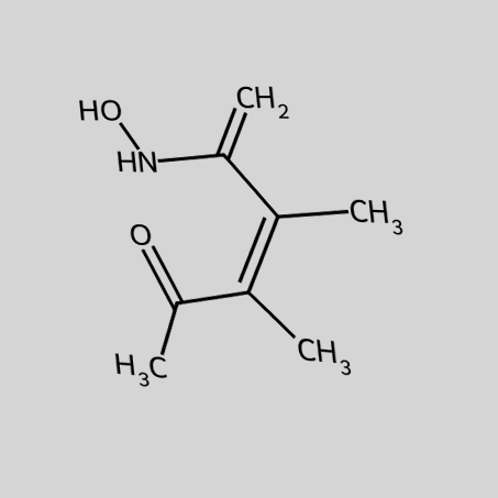 C=C(NO)/C(C)=C(/C)C(C)=O